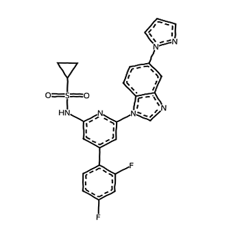 O=S(=O)(Nc1cc(-c2ccc(F)cc2F)cc(-n2cnc3cc(-n4cccn4)ccc32)n1)C1CC1